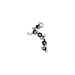 Cc1cc(Nc2cc(C)[nH]n2)nc([C@H]2CC[C@H](C(=O)NCc3ccc(-n4cc(Cl)cn4)nc3)CC2)n1